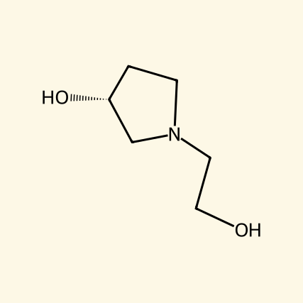 OCCN1CC[C@@H](O)C1